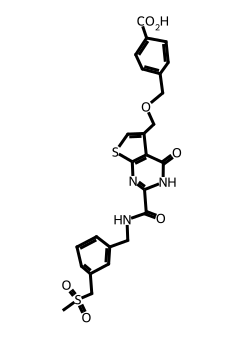 CS(=O)(=O)Cc1cccc(CNC(=O)c2nc3scc(COCc4ccc(C(=O)O)cc4)c3c(=O)[nH]2)c1